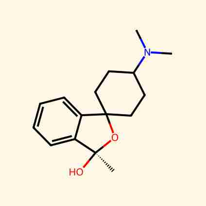 CN(C)C1CCC2(CC1)O[C@@](C)(O)c1ccccc12